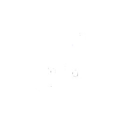 CC(C)OC(=O)/C=C/Cl